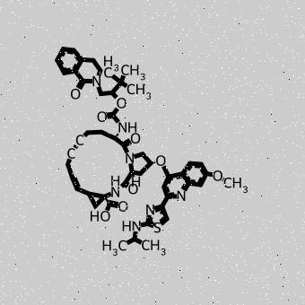 COc1ccc2c(O[C@@H]3C[C@H]4C(=O)N[C@]5(C(=O)O)CC5/C=C\CCCCC[C@H](NC(=O)OC(CN5CCc6ccccc6C5=O)C(C)(C)C)C(=O)N4C3)cc(-c3csc(NC(C)C)n3)nc2c1